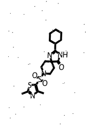 Cc1nc(C)c(S(=O)(=O)N2CCC3(CC2)N=C(C2CCCCC2)NC3=O)s1